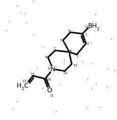 BC1=CCC2(CC1)CCN(C(=O)C=C)CC2